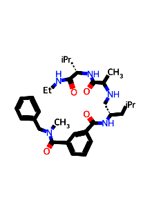 CCNC(=O)[C@@H](NC(=O)C(C)NC[C@H](CC(C)C)NC(=O)c1cccc(C(=O)N(C)Cc2ccccc2)c1)C(C)C